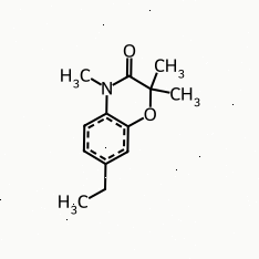 CCc1ccc2c(c1)OC(C)(C)C(=O)N2C